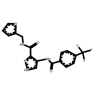 O=C(Nc1c[nH]nc1C(=O)NCc1ccco1)c1ccc(C(F)(F)F)cc1